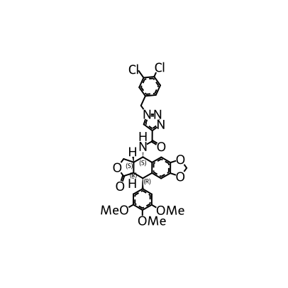 COc1cc([C@@H]2c3cc4c(cc3[C@@H](NC(=O)c3cn(Cc5ccc(Cl)c(Cl)c5)nn3)[C@H]3COC(=O)[C@H]23)OCO4)cc(OC)c1OC